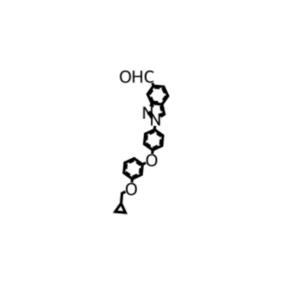 O=Cc1ccc2cn(-c3ccc(Oc4cccc(OCC5CC5)c4)cc3)nc2c1